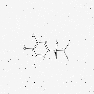 O=S(=O)(c1ccc(Cl)c(Cl)c1)C(I)I